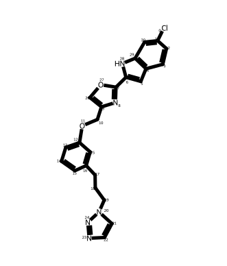 Clc1ccc2cc(-c3nc(COc4cccc(CCCn5ccnn5)c4)co3)[nH]c2c1